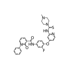 CN1CCN(C(=S)Nc2cc(Oc3ccc(NC(=O)c4cccn(-c5ccccc5)c4=O)cc3F)ccn2)CC1